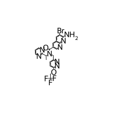 CC(c1ncccn1)N(Cc1ccc(OCC(F)(F)F)nn1)C(=O)c1cnc2nc(N)c(Br)cc2c1